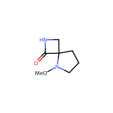 CON1CCCC12CNC2=O